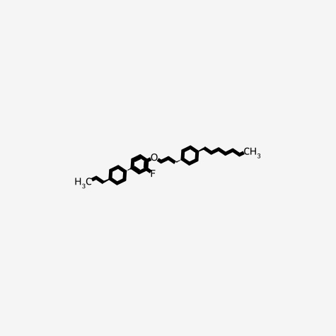 CCCCCCC[C@H]1CC[C@H](CCCOc2ccc([C@H]3CC[C@H](CCC)CC3)cc2F)CC1